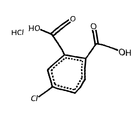 Cl.O=C(O)c1ccc(Cl)cc1C(=O)O